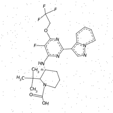 CC(C)(C)C1[C@H](Nc2nc(-c3cnn4ccccc34)nc(OCC(F)(F)F)c2F)CCCN1C(=O)O